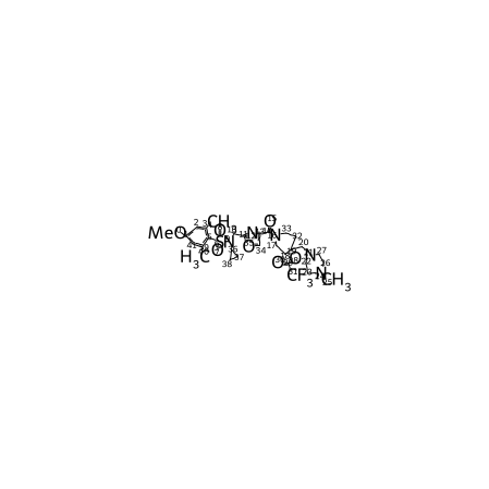 COc1cc(C)c(S(=O)(=O)N(Cc2nc(C(=O)N3CCC(CN4CCN(C)CC4)(OC(=O)C(F)(F)F)CC3)co2)C2CC2)c(C)c1